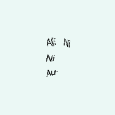 [Al].[Au].[Ni].[Ni]